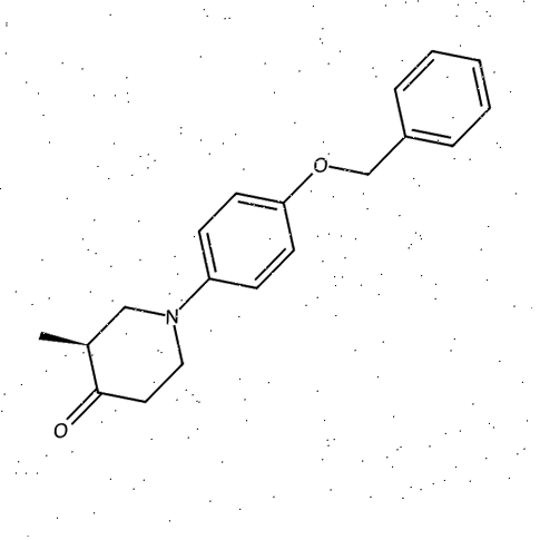 C[C@H]1CN(c2ccc(OCc3ccccc3)cc2)CCC1=O